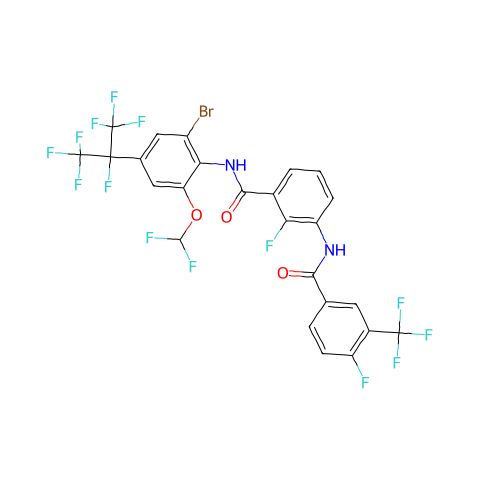 O=C(Nc1cccc(C(=O)Nc2c(Br)cc(C(F)(C(F)(F)F)C(F)(F)F)cc2OC(F)F)c1F)c1ccc(F)c(C(F)(F)F)c1